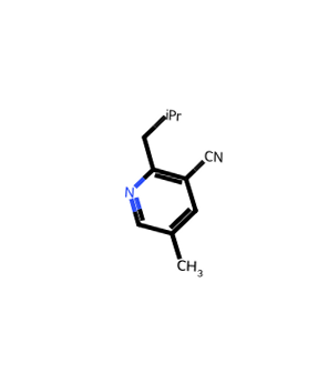 Cc1cnc(CC(C)C)c(C#N)c1